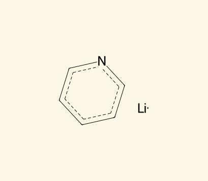 [Li].c1ccncc1